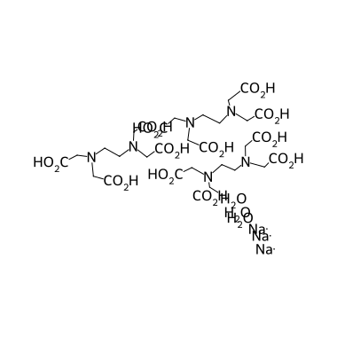 O.O.O.O=C(O)CN(CCN(CC(=O)O)CC(=O)O)CC(=O)O.O=C(O)CN(CCN(CC(=O)O)CC(=O)O)CC(=O)O.O=C(O)CN(CCN(CC(=O)O)CC(=O)O)CC(=O)O.[Na].[Na].[Na]